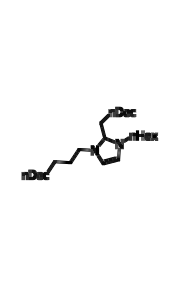 CCCCCCCCCCCCCN1C=CN(CCCCCC)C1CCCCCCCCCCC